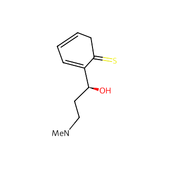 CNCC[C@H](O)C1=CC=CCC1=S